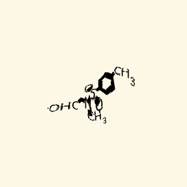 Cc1ccc(S(=O)(=O)N(C)C[C]=O)cc1